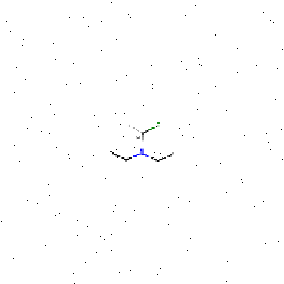 CCN(CC)[C@H](C)F